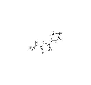 NNC(=O)[CH]C(=O)c1ccncc1